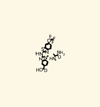 CNC(C)C(N)=O.Cn1c(Nc2nc3ccc(OC(F)(F)F)cc3s2)nc2cc(C(=O)O)ccc21